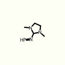 CN1CCN(C)C1N=P